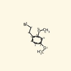 COc1ccc([CH]CBr)c(OC)c1